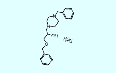 Cl.Cl.OC(COCc1ccccc1)CN1CCN(Cc2ccccc2)CC1